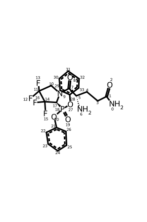 NC(=O)CC[C@H](N)C(=O)N1CC(F)(F)C(F)(F)[C@@H]1P(=O)(Oc1ccccc1)Oc1ccccc1